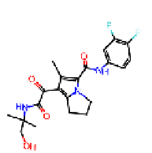 Cc1c(C(=O)C(=O)NC(C)(C)CO)c2n(c1C(=O)Nc1ccc(F)c(F)c1)CCC2